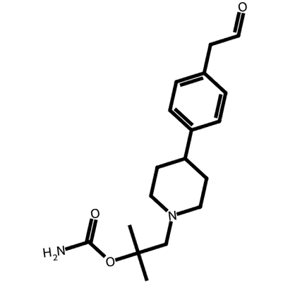 CC(C)(CN1CCC(c2ccc(CC=O)cc2)CC1)OC(N)=O